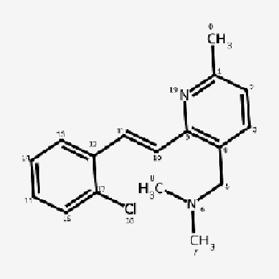 Cc1ccc(CN(C)C)c(/C=C/c2ccccc2Cl)n1